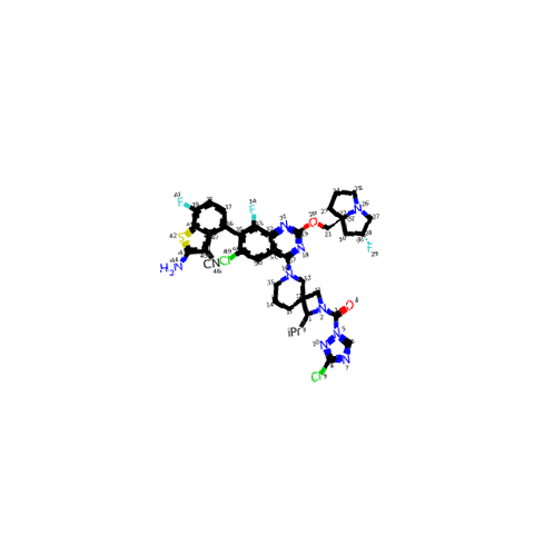 CC(C)C1N(C(=O)n2cnc(Cl)n2)CC12CCCN(c1nc(OC[C@@]34CCCN3C[C@H](F)C4)nc3c(F)c(-c4ccc(F)c5sc(N)c(C#N)c45)c(Cl)cc13)C2